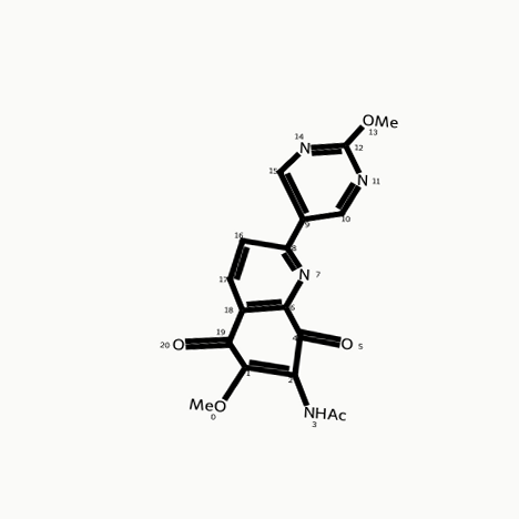 COC1=C(NC(C)=O)C(=O)c2nc(-c3cnc(OC)nc3)ccc2C1=O